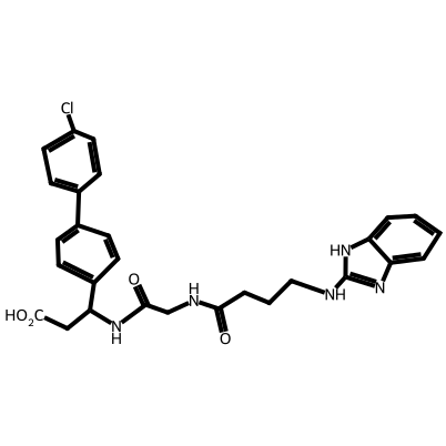 O=C(O)CC(NC(=O)CNC(=O)CCCNc1nc2ccccc2[nH]1)c1ccc(-c2ccc(Cl)cc2)cc1